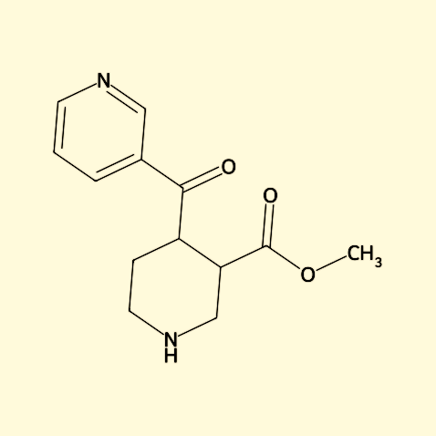 COC(=O)C1CNCCC1C(=O)c1cccnc1